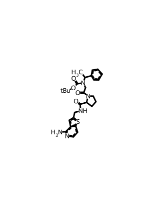 CC(c1ccccc1)N(CC(=O)N1CCCC1C(=O)NCc1cc2c(N)nccc2s1)C(=O)OC(C)(C)C